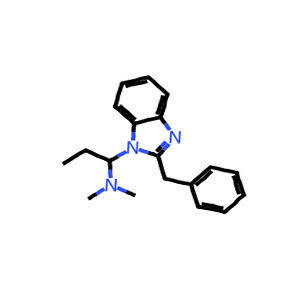 CCC(N(C)C)n1c(Cc2ccccc2)nc2ccccc21